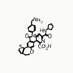 NCc1ccc(NC(=O)c2cc3c(cc2-c2ccc(C(=O)NC4CCCC4)nc2C(=O)O)OCCc2ccsc2-3)cc1